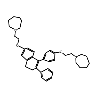 c1ccc(C2=C(c3ccc(OCCN4CCCCCC4)cc3)c3ccc(OCCN4CCCCCC4)cc3CC2)cc1